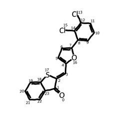 O=C1C(=Cc2ccc(-c3cccc(Cl)c3Cl)o2)Sc2ccccc21